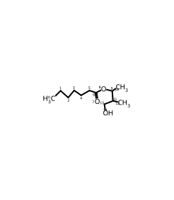 CCCCCCC(=O)OC(C)C(C)CO